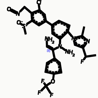 Cc1nc(C(C)F)cn1-c1ccc(-c2cc(Cl)c(CN=O)c([S+](C)[O-])c2)cc1N(N)/C(=C\N)c1ccc(OC(F)(F)F)cc1